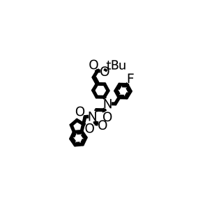 CC(C)(C)OC(=O)C=C1CCC(N(Cc2ccc(F)cc2)C(=O)CN2C(=O)OC3(CCc4ccccc43)C2=O)CC1